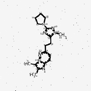 [CH]c1c(C)nc2ccc(CCc3nc(N4CCCC4)nn3C)nn12